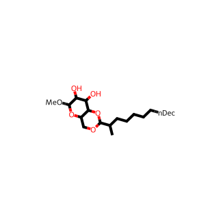 CCCCCCCCCCCCCCCC(C)C1OCC2OC(OC)C(O)C(O)C2O1